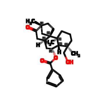 C[C@@]12CC[C@]3(C1)[C@H](CC2=O)C[C@@H](OC(=O)c1ccccc1)[C@H]1[C@](C)(CO)CCC[C@@]13C